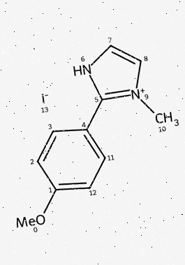 COc1ccc(-c2[nH]cc[n+]2C)cc1.[I-]